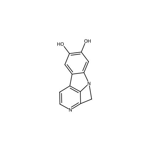 Oc1cc2c3ccnc4c3n(c2cc1O)C4